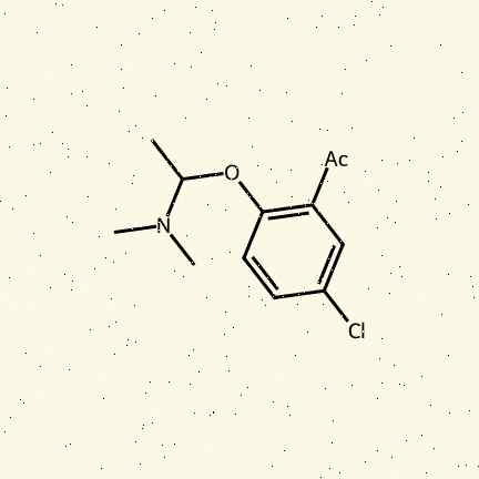 CC(=O)c1cc(Cl)ccc1OC(C)N(C)C